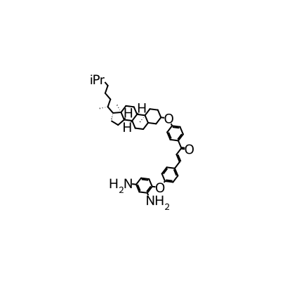 CC(C)CCC[C@@H](C)[C@H]1CC[C@H]2[C@@H]3CCC4CC(Oc5ccc(C(=O)/C=C/c6ccc(Oc7ccc(N)cc7N)cc6)cc5)CC[C@]4(C)[C@H]3CC[C@]12C